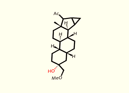 COC[C@@]1(O)CC[C@H]2[C@H](CC[C@@H]3[C@@H]2CC[C@]2(C)C(C(C)=O)C4CC4[C@@H]32)C1